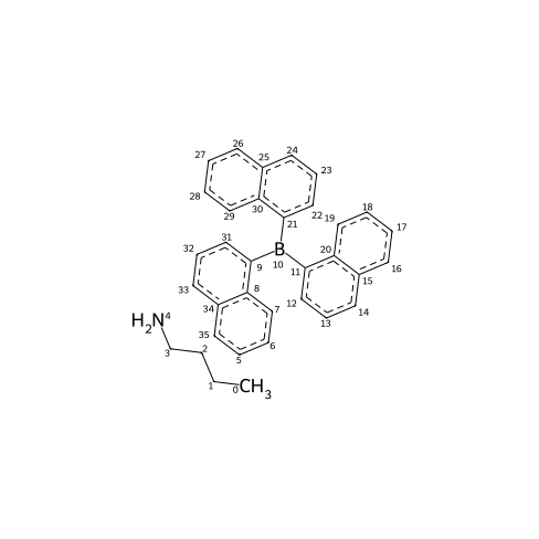 CCCCN.c1ccc2c(B(c3cccc4ccccc34)c3cccc4ccccc34)cccc2c1